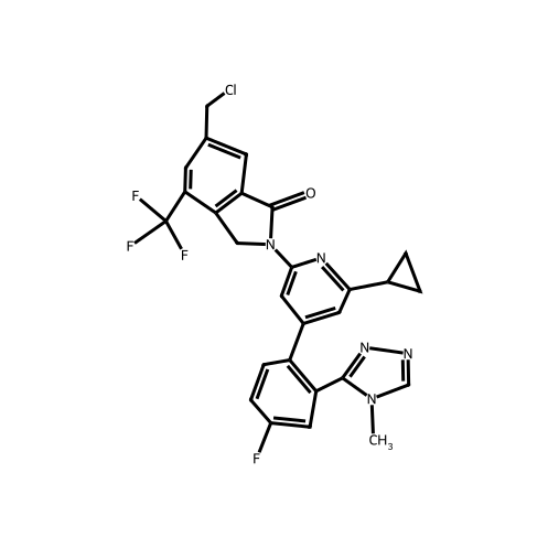 Cn1cnnc1-c1cc(F)ccc1-c1cc(C2CC2)nc(N2Cc3c(cc(CCl)cc3C(F)(F)F)C2=O)c1